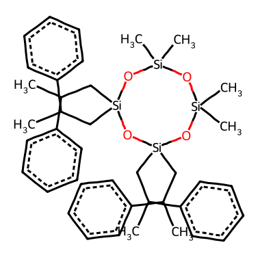 CC(C[Si]1(CC(C)c2ccccc2)O[Si](C)(C)O[Si](C)(C)O[Si](CC(C)c2ccccc2)(CC(C)c2ccccc2)O1)c1ccccc1